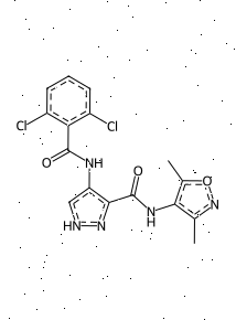 Cc1noc(C)c1NC(=O)c1n[nH]cc1NC(=O)c1c(Cl)cccc1Cl